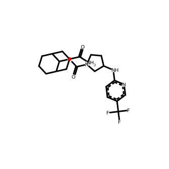 NC(=O)C1CC2CCCC(C1)C2OC(=O)N1CCC(Nc2ccc(C(F)(F)F)cn2)C1